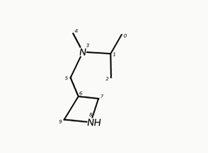 CC(C)N(C)CC1CNC1